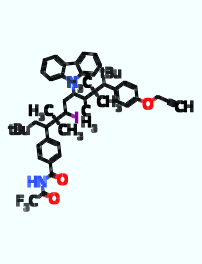 C#CCOc1ccc(C(C(C)(C)C)C(C)(C)C(C)C(CC(I)C(C)(C)C(CC(C)(C)C)c2ccc(C(=O)NC(=O)C(F)(F)F)cc2)n2c3ccccc3c3ccccc32)cc1